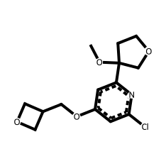 COC1(c2cc(OCC3COC3)cc(Cl)n2)CCOC1